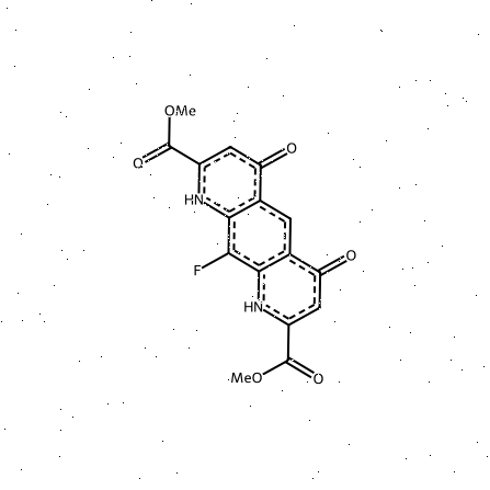 COC(=O)c1cc(=O)c2cc3c(=O)cc(C(=O)OC)[nH]c3c(F)c2[nH]1